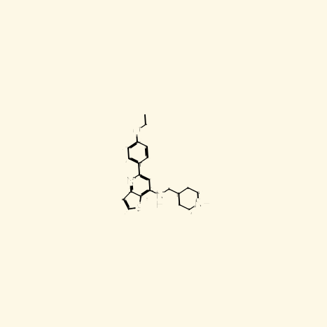 CCOc1ccc(-c2cc(NCC3CCNCC3)c3sccc3n2)cc1